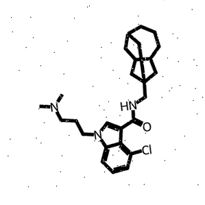 CN(C)CCCn1cc(C(=O)NCC23CC4CCCC(C2)C(C4)C3)c2c(Cl)cccc21